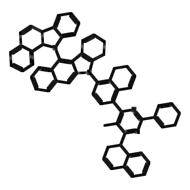 Cc1c(-c2ccc(-n3c4c(c5c(N6c7ccccc7C7C=Cc8ccccc8C76)c6ccccc6cc53)C=CCC4)c3c2C=CCC3)nc(C2=CCCC=C2)nc1C1CC=Cc2ccccc21